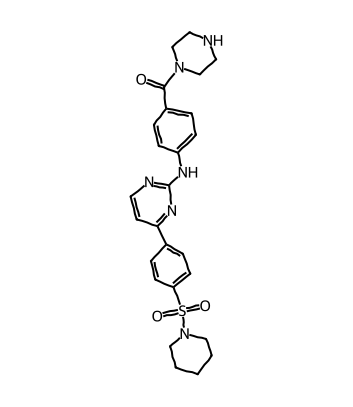 O=C(c1ccc(Nc2nccc(-c3ccc(S(=O)(=O)N4CCCCC4)cc3)n2)cc1)N1CCNCC1